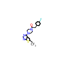 O=C(Cc1ccc(F)cc1)N1CCN(c2ncnc3sc(CC(F)(F)F)cc23)CC1